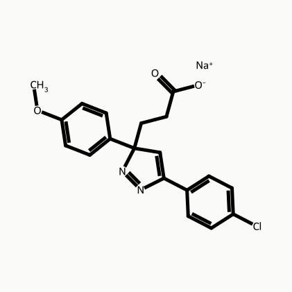 COc1ccc(C2(CCC(=O)[O-])C=C(c3ccc(Cl)cc3)N=N2)cc1.[Na+]